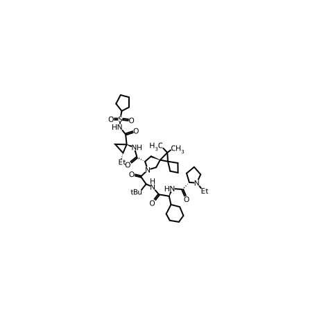 CC[C@@H]1C[C@]1(NC(=O)[C@@H]1C[C@@]2(CN1C(=O)C(NC(=O)[C@@H](NC(=O)[C@@H]1CCCN1CC)C1CCCCC1)C(C)(C)C)C(C)(C)C21CCC1)C(=O)NS(=O)(=O)C1CCCC1